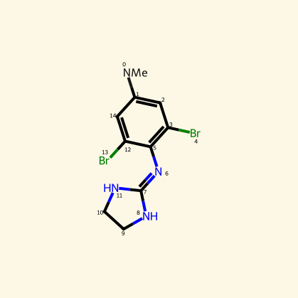 CNc1cc(Br)c(N=C2NCCN2)c(Br)c1